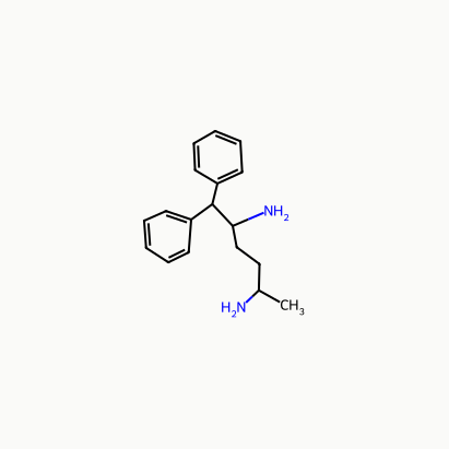 CC(N)CCC(N)C(c1ccccc1)c1ccccc1